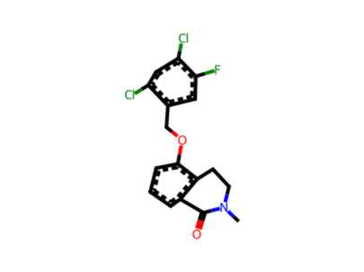 CN1CCc2c(OCc3cc(F)c(Cl)cc3Cl)cccc2C1=O